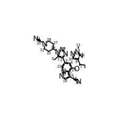 Cc1c(-c2cc(OC(C)c3cnn(C)n3)c3c(C#N)cnn3c2)nnn1C1CCN(C#N)CC1